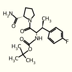 C[C@@H](c1ccc(F)cc1)[C@H](NC(=O)OC(C)(C)C)C(=O)N1CCC[C@H]1C(N)=O